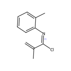 C=C(C)/C(Cl)=N\c1ccccc1C